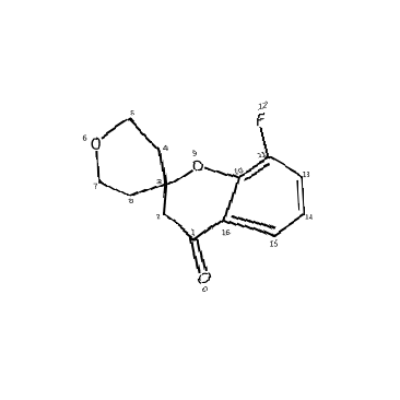 O=C1CC2(CCOCC2)Oc2c(F)cccc21